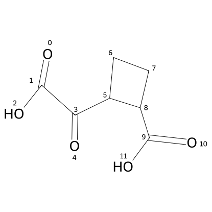 O=C(O)C(=O)C1CCC1C(=O)O